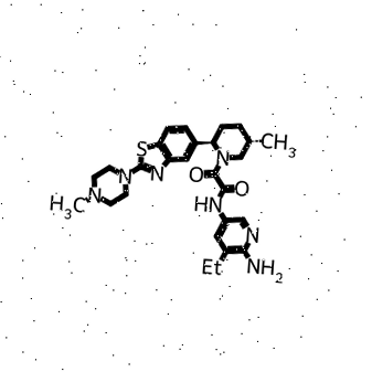 CCc1cc(NC(=O)C(=O)N2C[C@@H](C)CC[C@@H]2c2ccc3sc(N4CCN(C)CC4)nc3c2)cnc1N